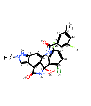 Cn1cc2c3c(c(NC(=O)c4cc(F)cc(C(F)(F)F)c4)cc2n1)C(O)(c1cc(F)ccc1Cl)NC3=O